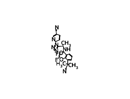 CC(NC(=O)c1cccc(C(C)(C)C#N)c1OC(F)(F)F)c1ncnn1-c1ccc(C#N)cn1